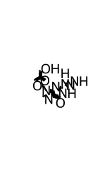 N=NNc1nc2c(ncn2[C@H]2OCC(CO)O2)c(=O)[nH]1